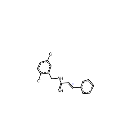 N=C(/C=C/c1ccccc1)NCc1cc(Cl)ccc1Cl